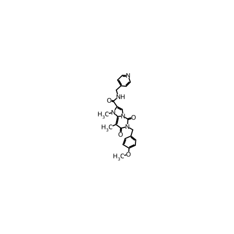 COc1ccc(Cn2c(=O)c(C)c3n(C)c(C(=O)NCc4ccncc4)cn3c2=O)cc1